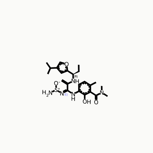 C=C(N[C@H](CC)c1cc(C(C)C)co1)/C(=N\[S+](N)[O-])Nc1ccc(C)c(C(=O)N(C)C)c1O